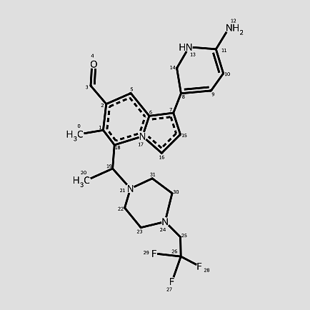 Cc1c(C=O)cc2c(C3=CC=C(N)NC3)ccn2c1C(C)N1CCN(CC(F)(F)F)CC1